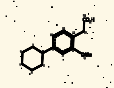 COc1cc(C2CCCCC2)ccc1CC(=O)O